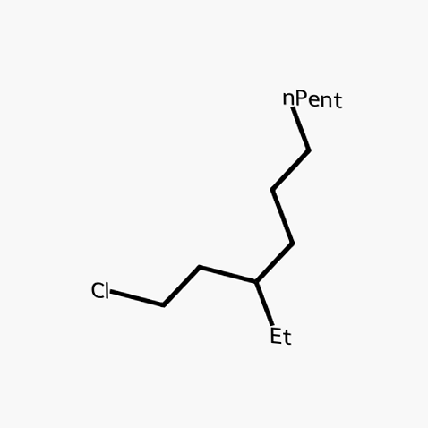 CCCCCCCCC(CC)CCCl